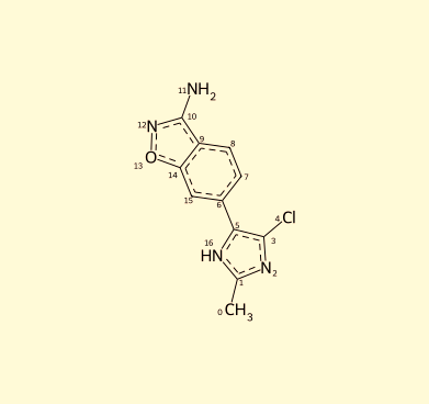 Cc1nc(Cl)c(-c2ccc3c(N)noc3c2)[nH]1